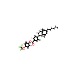 CCCCCC[C@H]1CC[C@@H]2CC(c3ccc(C(=O)Oc4ccc(OC(F)(F)F)cc4)cc3F)CC[C@H]2C1